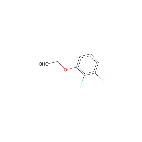 O=[C]COc1cccc(F)c1F